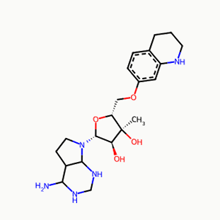 C[C@@]1(O)[C@@H](COc2ccc3c(c2)NCCC3)O[C@@H](N2CCC3C(N)NCNC32)[C@@H]1O